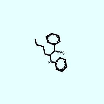 CCCCC(Nc1ccccc1)C(N)c1ccccc1